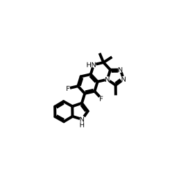 Cc1nnc2n1-c1c(cc(F)c(C3=CNC4C=CC=CC34)c1F)NC2(C)C